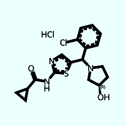 Cl.O=C(Nc1ncc(C(c2ccccc2Cl)N2CC[C@@H](O)C2)s1)C1CC1